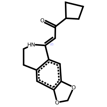 O=C(/C=C1\NCCc2cc3c(cc21)OCO3)C1CCC1